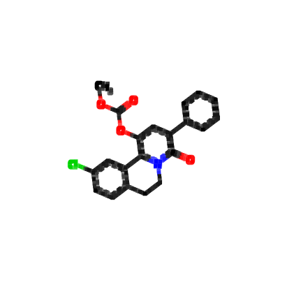 COC(=O)Oc1cc(-c2ccccc2)c(=O)n2c1-c1cc(Cl)ccc1CC2